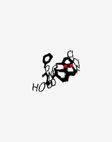 CC(OCc1ccccc1)C(NC(=O)c1ccc2cc(F)ccc2c1OCc1ccc(Cl)c(Cl)c1)C(=O)O